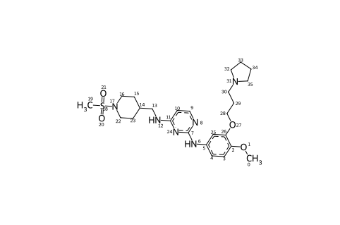 COc1ccc(Nc2nccc(NCC3CCN(S(C)(=O)=O)CC3)n2)cc1OCCCN1CCCC1